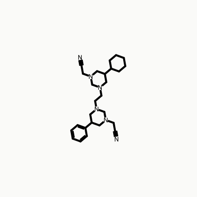 N#CCN1CC(c2ccccc2)CN(CCN2CC(C3CCCCC3)CN(CC#N)C2)C1